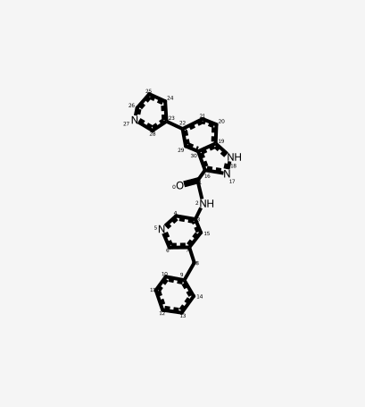 O=C(Nc1cncc(Cc2ccccc2)c1)c1n[nH]c2ccc(-c3cccnc3)cc12